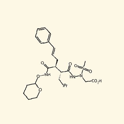 CC(C)C[C@@H](C(=O)NN(CC(=O)O)S(C)(=O)=O)[C@H](CC=Cc1ccccc1)C(=O)NOC1CCCCO1